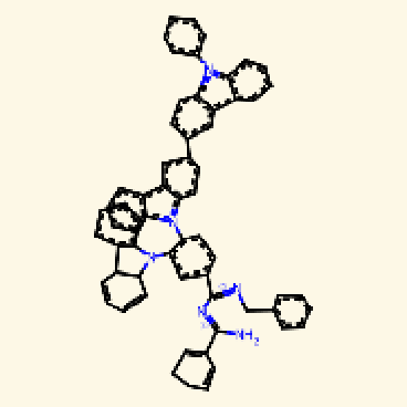 N/C(=N\C(=N/Cc1ccccc1)c1ccc(-n2c3ccccc3c3cc(-c4ccc5c(c4)c4ccccc4n5-c4ccccc4)ccc32)c(N2c3ccccc3C3C=CC=CC32)c1)C1=CCCC=C1